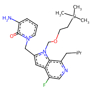 CC(C)Cc1ncc(F)c2cc(Cn3cccc(N)c3=O)n(COCC[Si](C)(C)C)c12